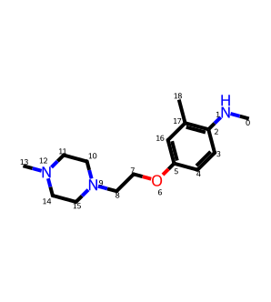 CNc1ccc(OCCN2CCN(C)CC2)cc1C